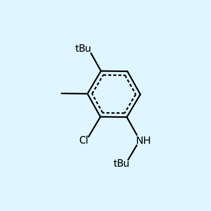 Cc1c(C(C)(C)C)ccc(NC(C)(C)C)c1Cl